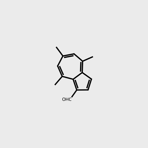 Cc1cc(C)c2ccc(C=O)c-2c(C)c1